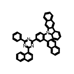 C1=CC2c3cc4ccccc4cc3N(c3ccc(-c4nc(-c5ccccc5)nc(-c5cccc6ccccc56)n4)cc3-c3ccc4ccccc4c3)C2C=C1